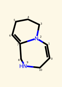 C1=CN2CCCC=C2CNC1